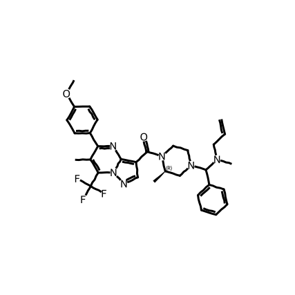 C=CCN(C)C(c1ccccc1)N1CCN(C(=O)c2cnn3c(C(F)(F)F)c(C)c(-c4ccc(OC)cc4)nc23)[C@H](C)C1